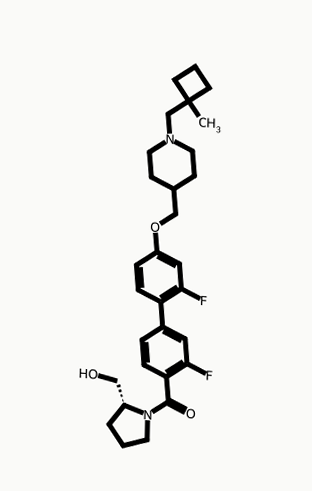 CC1(CN2CCC(COc3ccc(-c4ccc(C(=O)N5CCC[C@@H]5CO)c(F)c4)c(F)c3)CC2)CCC1